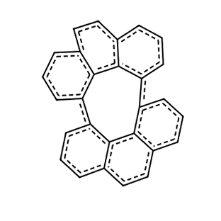 c1cc2ccc3cccc4c5cccc6ccc7cccc(c(c1)c2c34)c7c65